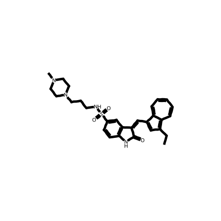 CCc1cc(C=C2C(=O)Nc3ccc(S(=O)(=O)NCCCN4CCN(C)CC4)cc32)c2cccccc1-2